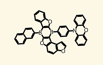 c1ccc2c(c1)Oc1ccccc1N2c1ccc(B2c3oc4ccccc4c3B(c3ccc4ccccc4c3)c3oc4ccc5occc5c4c32)cc1